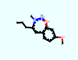 CCCc1cc2ccc(OC)cc2o[nH]n1C